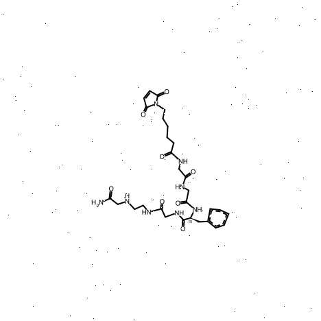 NC(=O)CNCCNC(=O)CNC(=O)[C@H](Cc1ccccc1)NC(=O)CNC(=O)CNC(=O)CCCCCN1C(=O)C=CC1=O